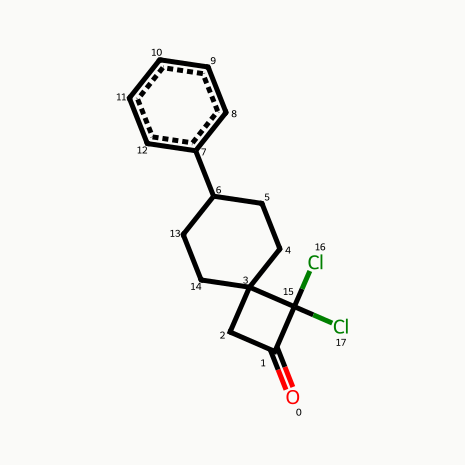 O=C1CC2(CCC(c3ccccc3)CC2)C1(Cl)Cl